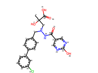 CC(O)(CN(Cc1ccc(-c2cccc(Cl)c2)cc1)NC(=O)c1cnc(O)nc1)C(=O)O